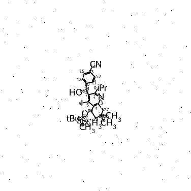 CC(C)c1nc2c(c(I)c1[C@H](O)c1ccc(C#N)cc1)[C@@H](O[Si](C)(C)C(C)(C)C)CC(C)(C)C2